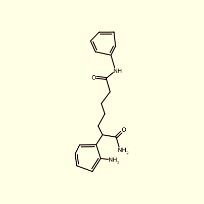 NC(=O)C(CCCCC(=O)Nc1ccccc1)c1ccccc1N